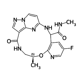 CNC(=O)C1Nc2ccn3ncc(c3n2)C(=O)NC[C@H](C)Oc2ncc(F)cc21